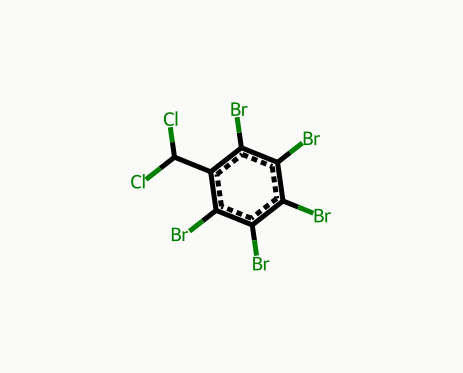 ClC(Cl)c1c(Br)c(Br)c(Br)c(Br)c1Br